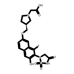 O=C(O)CN1CC[C@H](COc2ccc3cc(O)c(N4CC(=O)NS4(=O)=O)c(F)c3c2)C1